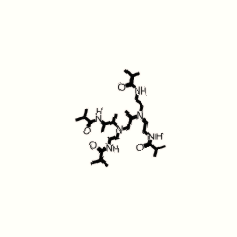 CC(C)C(=O)NCCN(CCNC(=O)C(C)C)C(C)CN(CCNC(=O)C(C)C)C(C)C(C)NC(=O)C(C)C